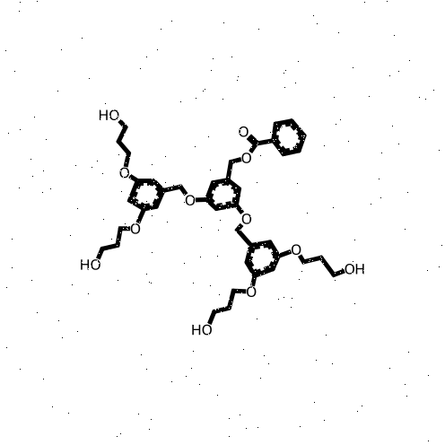 O=C(OCc1cc(OCc2cc(OCCCO)cc(OCCCO)c2)cc(OCc2cc(OCCCO)cc(OCCCO)c2)c1)c1ccccc1